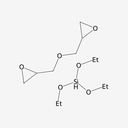 C(OCC1CO1)C1CO1.CCO[SiH](OCC)OCC